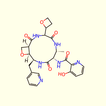 C[C@H]1NC(=O)C(C2CCO2)NC(=O)[C@@H]2CO[C@@H]2[C@H](Cc2cccnc2)NC(=O)[C@H]1NC(=O)c1ncccc1O